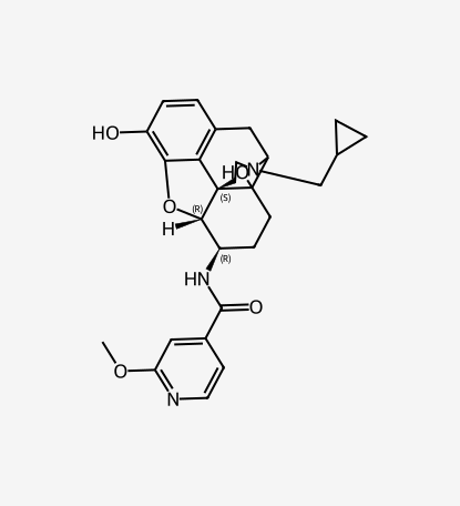 COc1cc(C(=O)N[C@@H]2CCC3(O)C4Cc5ccc(O)c6c5[C@@]3(CCN4CC3CC3)[C@H]2O6)ccn1